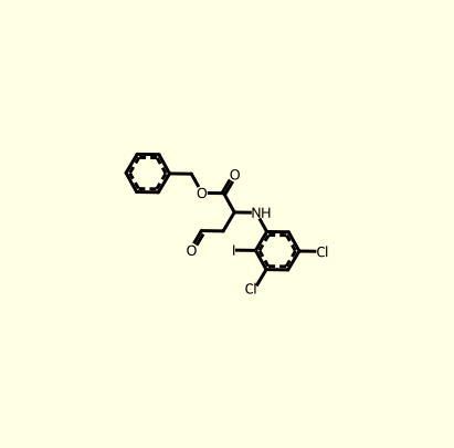 O=CCC(Nc1cc(Cl)cc(Cl)c1I)C(=O)OCc1ccccc1